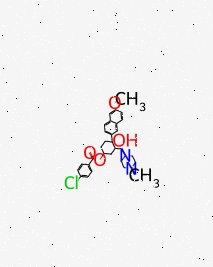 COc1ccc2cc(C3(O)CCC(OC(=O)c4ccc(Cl)cc4)CC3CN3CCN(C)CC3)ccc2c1